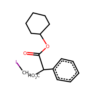 CI.O=C(O)C(C(=O)OC1CCCCC1)c1ccccc1